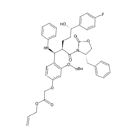 C=CCOC(=O)COc1ccc([C@@H](Nc2ccccc2)[C@@H](CC[C@H](O)c2ccc(F)cc2)C(=O)N2C(=O)OC[C@@H]2Cc2ccccc2)c(OCCCC)c1